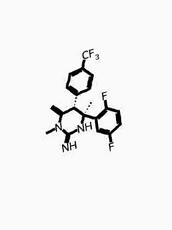 C=C1[C@H](c2ccc(C(F)(F)F)cc2)[C@@](C)(c2cc(F)ccc2F)NC(=N)N1C